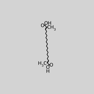 C/C(=C\CCCCCCCCCCCCCC/C=C(\C)C(=O)O)C(=O)O